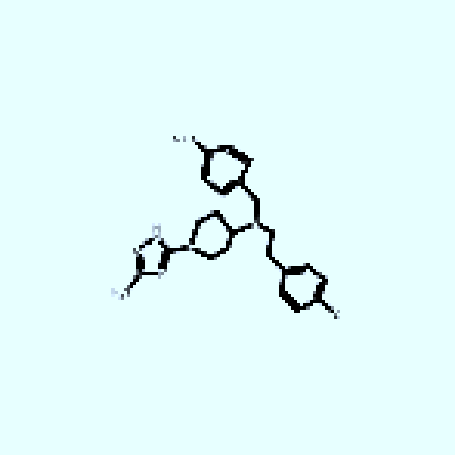 COc1ccc(CN(CCc2ccc(Cl)cc2)C2CCN(c3nc(N)n[nH]3)CC2)cc1